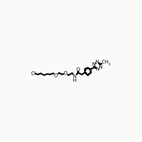 Cc1nnc(-c2ccc(CC(=O)NCCOCCOCCCCCCCl)cc2)nn1